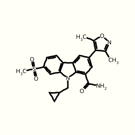 Cc1noc(C)c1-c1cc(C(N)=O)c2c(c1)c1ccc(S(C)(=O)=O)cc1n2CC1CC1